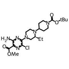 CC[C@H]1CN(c2nc(N)c(C(=O)OC)nc2Cl)CCN1C1CCN(C(=O)OC(C)(C)C)CC1